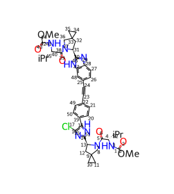 COC(=O)N[C@H](C(=O)N1CC2(CC2)C[C@H]1c1nc(Cl)c(-c2ccc(C#Cc3ccc4nc([C@@H]5CC6(CC6)CN5C(=O)[C@@H](NC(=O)OC)C(C)C)[nH]c4c3)cc2)[nH]1)C(C)C